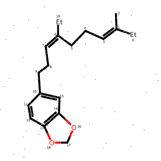 CCC(C)=CCCC(=CCCc1ccc2c(c1)OCO2)CC